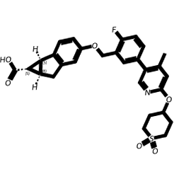 Cc1cc(OC2CCS(=O)(=O)CC2)ncc1-c1ccc(F)c(COc2ccc3c(c2)C[C@H]2[C@H](C(=O)O)[C@@H]32)c1